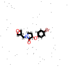 O=C1[C@H](Oc2ccc(Br)cc2)CCN1CC1COC1